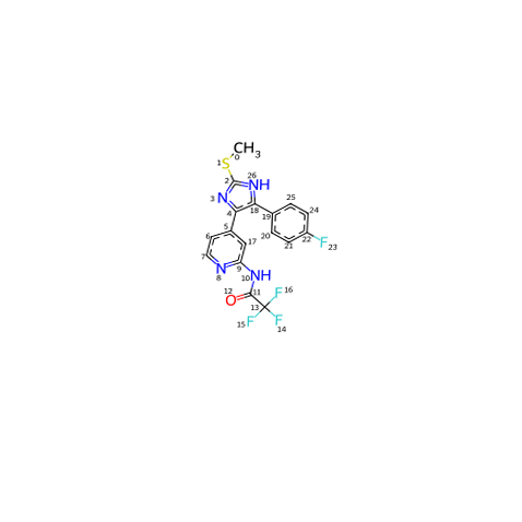 CSc1nc(-c2ccnc(NC(=O)C(F)(F)F)c2)c(-c2ccc(F)cc2)[nH]1